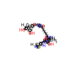 CCC(=C(c1ccc(O)cc1)c1ccc(OCCN2CCN(C(=O)CCCCCCCCC(=O)NC(C(=O)N3C[C@H](O)C[C@H]3C(=O)NCc3ccc(-c4scnc4C)cc3)C(C)(C)C)CC2)cc1)c1ccc(O)cc1